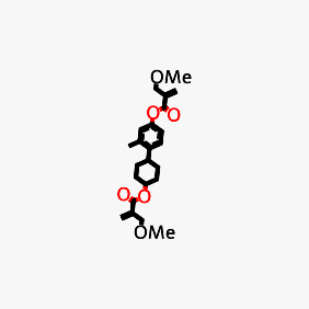 C=C(COC)C(=O)Oc1ccc(C2CCC(OC(=O)C(=C)COC)CC2)c(C)c1